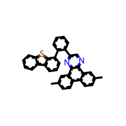 Cc1ccc2c3ccc(C)cc3c3nc(-c4ccccc4-c4cccc5c4sc4ccccc45)cnc3c2c1